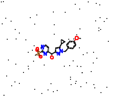 COc1ccc(Cn2nc(C(=O)c3ccnc(S(C)(=O)=O)n3)cc2C2CC2)cc1